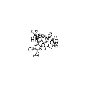 C=CCOc1cc(C2CC2)c(Cl)cc1[C@@H](N[S@@+]([O-])C(C)(C)C)C1CCN(C(=O)[C@H]2COC(C)(C)O2)CC1